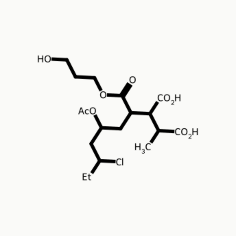 CCC(Cl)CC(CC(C(=O)OCCCO)C(C(=O)O)C(C)C(=O)O)OC(C)=O